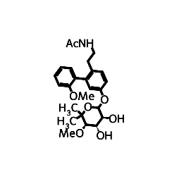 COc1ccccc1-c1cc(OC2OC(C)(C)[C@H](OC)[C@@H](O)[C@@H]2O)ccc1CCNC(C)=O